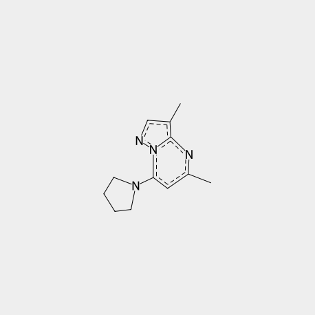 Cc1cc(N2CCCC2)n2ncc(C)c2n1